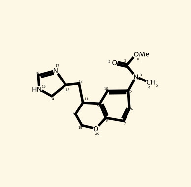 COC(=O)N(C)c1ccc2c(c1)C(CC1CNC=N1)CCO2